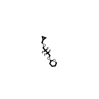 FC(F)(COCC1CC1)C(F)(F)COC1CCCCO1